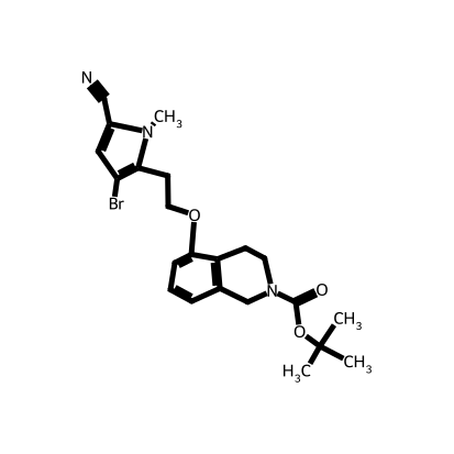 Cn1c(C#N)cc(Br)c1CCOc1cccc2c1CCN(C(=O)OC(C)(C)C)C2